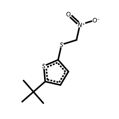 CC(C)(C)c1ccc(SC[N+](=O)[O-])s1